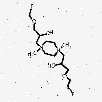 C[N+]1(CC(O)COCF)CC[N+](C)(CC(O)COCCF)CC1